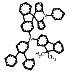 CC1(C)c2ccccc2-c2ccc(N(c3ccc(-c4ccccc4)c(-c4ccccc4)c3)c3ccc4c(c3)C3(c5ccccc5-4)c4ccccc4N(c4ccccc4)c4ccccc43)cc21